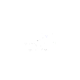 COc1cc(C(=O)N(CCCl)CCCl)cc(OC)c1OC